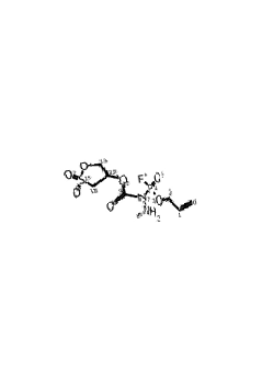 C=CCOP(=O)(F)N(N)C(=O)OC1COS(=O)(=O)C1